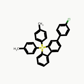 Cc1ccc(S2(c3ccc(C)cc3)c3ccccc3-c3ccc(-c4ccc(Cl)cc4)cc32)cc1